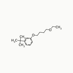 CCOCCCCOc1cccc(C(C)(C)C)c1